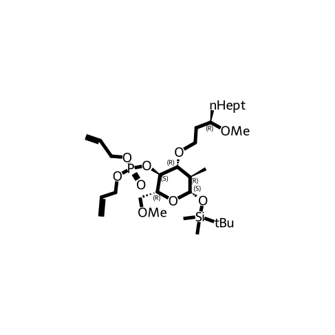 C=CCOP(=O)(OCC=C)O[C@H]1[C@H](OCC[C@@H](CCCCCCC)OC)[C@@H](C)[C@H](O[Si](C)(C)C(C)(C)C)O[C@@H]1COC